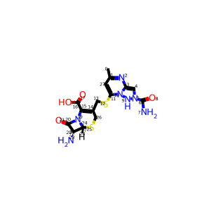 CC1=NC2=CN(C(N)=O)NN2C(SCC2=C(C(=O)O)N3C(=O)[C@@H](N)[C@H]3SC2)=C1